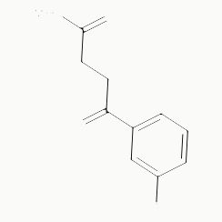 COC(=O)CCC(=O)c1cccc(Br)c1